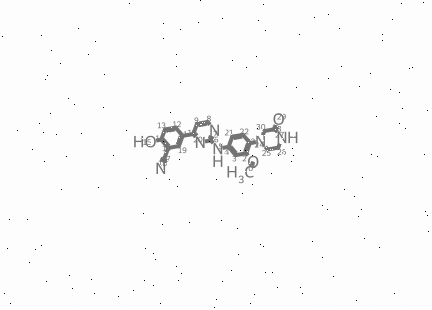 COc1cc(Nc2nccc(-c3ccc(O)c(C#N)c3)n2)ccc1N1CCNC(=O)C1